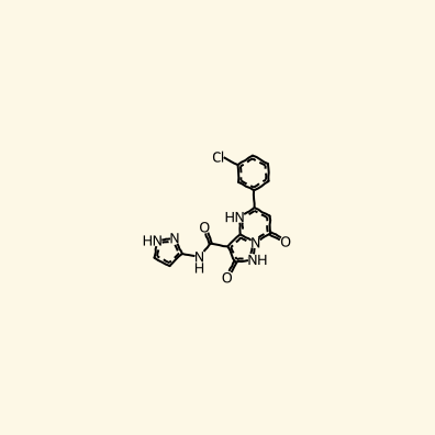 O=C(Nc1cc[nH]n1)c1c(=O)[nH]n2c(=O)cc(-c3cccc(Cl)c3)[nH]c12